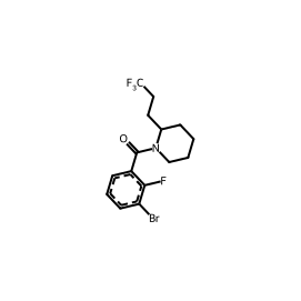 O=C(c1cccc(Br)c1F)N1CCCCC1CCC(F)(F)F